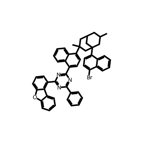 CC1CC2CC(C)(c3ccc(-c4nc(-c5ccccc5)nc(-c5cccc6oc7ccccc7c56)n4)c4ccccc34)CC(c3ccc(Br)c4ccccc34)(C1)C2